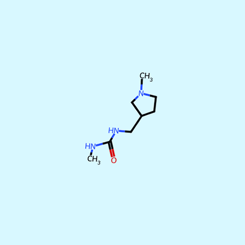 CNC(=O)NCC1CCN(C)C1